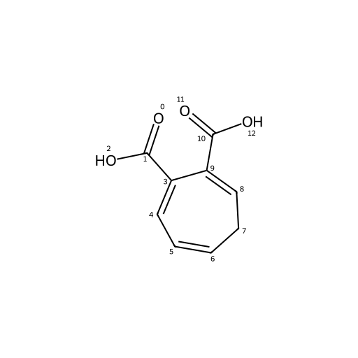 O=C(O)C1=CC=CCC=C1C(=O)O